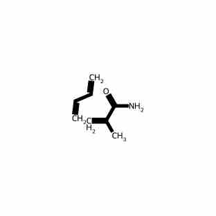 C=C(C)C(N)=O.C=CC=C